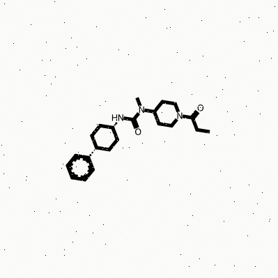 CCC(=O)N1CCC(N(C)C(=O)N[C@H]2CC[C@@H](c3ccccc3)CC2)CC1